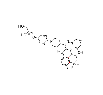 Cc1ccc([C@H](F)c2c(C3CCN(c4ncc(OC[C@@H](O)CO)cn4)CC3)nc3c(c2C2CCC(F)(F)CC2)[C@@H](O)CC(C)(C)C3)cc1